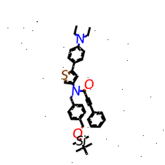 CCN(CC)c1ccc(-c2cc(N(Cc3ccc(CO[Si](C)(C)C(C)(C)C)cc3)C(=O)C#Cc3ccccc3)cs2)cc1